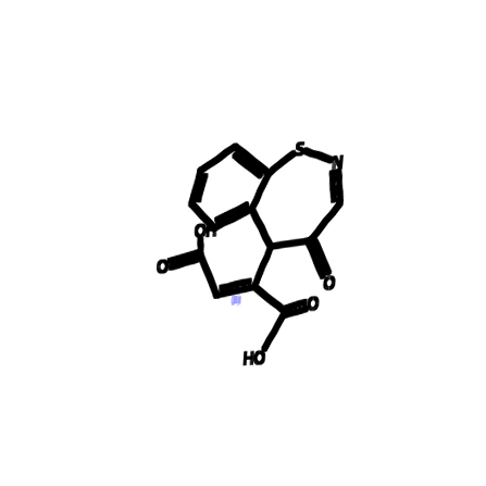 O=C(O)/C=C(/C(=O)O)C1C(=O)C=NSc2ccccc21